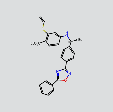 C=CSc1cc(N[C@H](c2ccc(-c3noc(-c4ccccc4)n3)cc2)C(C)CC)ccc1C(=O)OCC